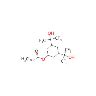 C=CC(=O)OC1CC(C(O)(C(F)(F)F)C(F)(F)F)CC(C(O)(C(F)(F)F)C(F)(F)F)C1